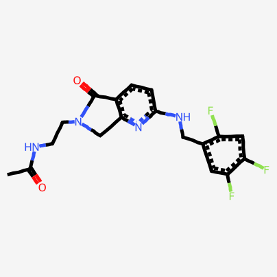 CC(=O)NCCN1Cc2nc(NCc3cc(F)c(F)cc3F)ccc2C1=O